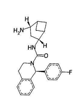 N[C@H]1C[C@@H](NC(=O)N2CCc3ccccc3[C@@H]2c2ccc(F)cc2)C2CC1C2